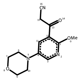 COc1ncc(N2CCOCC2)cc1C(=O)CC#N